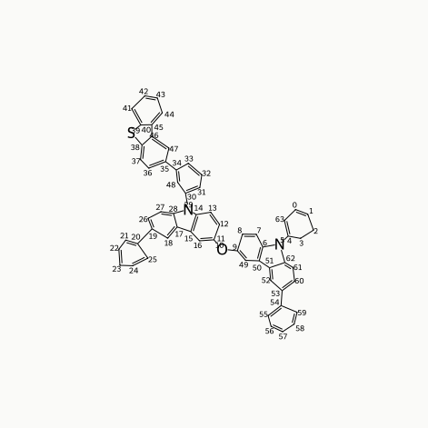 C1=CCCC(n2c3ccc(Oc4ccc5c(c4)c4cc(-c6ccccc6)ccc4n5-c4cccc(-c5ccc6sc7ccccc7c6c5)c4)cc3c3cc(-c4ccccc4)ccc32)=C1